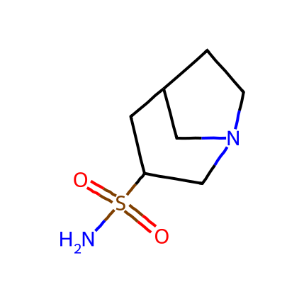 NS(=O)(=O)C1CC2CCN(C2)C1